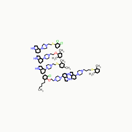 CCCCCc1cccc(Cl)c1OCCN1CCN(c2cccc3[nH]ccc23)CC1.Cc1ccc(SCCN2CCN(c3cccc4[nH]ccc34)CC2)c(C)c1.Cc1cccc(C)c1OCCN1CCN(c2cccc3[nH]ccc23)CC1.Cc1cccc(C)c1SCCCCN1CCN(c2cccc3[nH]ccc23)CC1.Clc1cccc(SCCN2CCN(c3cccc4[nH]ccc34)CC2)c1Cl